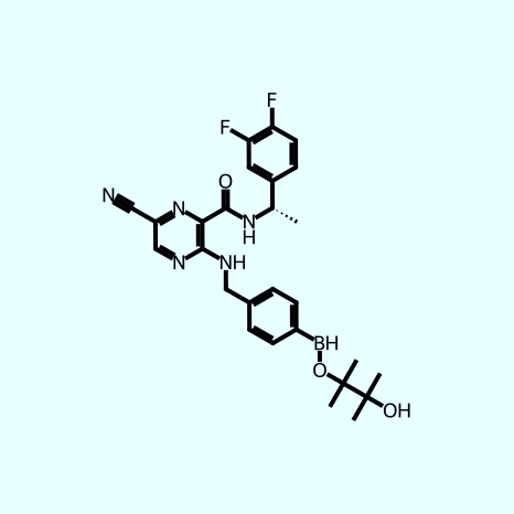 C[C@H](NC(=O)c1nc(C#N)cnc1NCc1ccc(BOC(C)(C)C(C)(C)O)cc1)c1ccc(F)c(F)c1